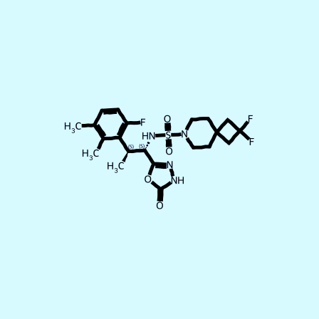 Cc1ccc(F)c([C@H](C)[C@H](NS(=O)(=O)N2CCC3(CC2)CC(F)(F)C3)c2n[nH]c(=O)o2)c1C